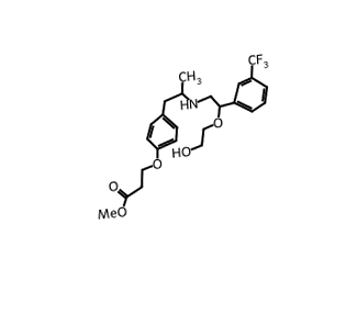 COC(=O)CCOc1ccc(CC(C)NCC(OCCO)c2cccc(C(F)(F)F)c2)cc1